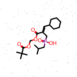 CC(C)CP(=O)(O)C/C(=C\C1CCCCC1)C(=O)OCOC(=O)C(C)(C)C